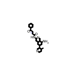 Cc1ccncc1-c1cc(N)c2cnc(NC(=O)/C=C/C(=O)c3ccccc3)cc2c1